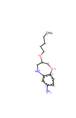 COCCCCOC1CNc2cc(N)ccc2OC1